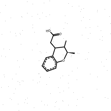 CC1C(CC(=O)O)c2ccccc2O[C@@H]1C